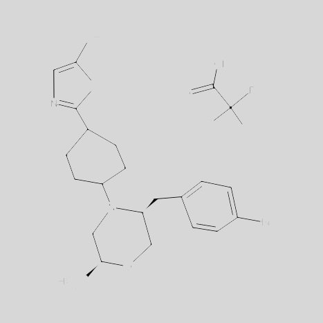 Cc1cnc(C2CCC(N3C[C@H](C(=O)O)OC[C@@H]3Cc3ccc(Br)cc3)CC2)o1.O=C(O)C(F)(F)F